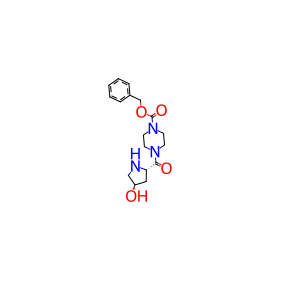 O=C(OCc1ccccc1)N1CCN(C(=O)[C@@H]2C[C@@H](O)CN2)CC1